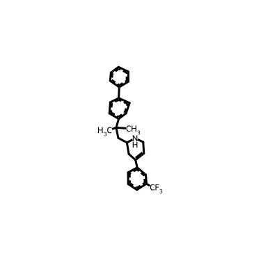 CC(C)(CC1CC(c2cccc(C(F)(F)F)c2)=CCN1)c1ccc(-c2ccccc2)cc1